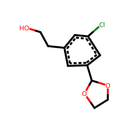 OCCc1cc(Cl)cc(C2OCCO2)c1